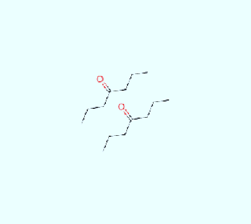 CCCC(=O)CCC.CCCC(=O)CCC